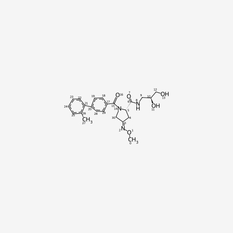 CO/N=C1\C[C@@H](C(=O)NC[C@H](O)CO)N(C(=O)c2ccc(-c3ccccc3C)cc2)C1